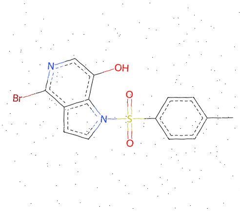 Cc1ccc(S(=O)(=O)n2ccc3c(Br)ncc(O)c32)cc1